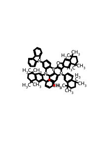 Cc1cc2c3c(c1)N(c1ccc4c(c1)C(C)(C)CCC4(C)C)c1c(oc4cc5c(cc14)C(C)(C)CCC5(C)C)B3c1ccc(-n3c4ccccc4c4ccccc43)cc1N2c1cc2c(cc1-c1ccccc1)C(C)(C)CCC2(C)C